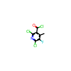 Cc1c(F)c(Cl)nc(Cl)c1C(=O)Cl